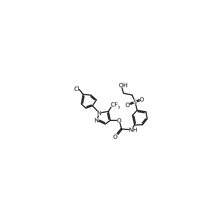 O=C(Nc1cccc(S(=O)(=O)CCO)c1)Oc1cnn(-c2ccc(Cl)cc2)c1C(F)(F)F